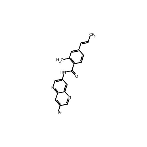 Cc1cc(/C=C/C(F)(F)F)ccc1C(=O)Nc1cnc2cc(C(C)C)cnc2c1